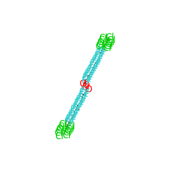 O=C(OOC(=O)C(F)(F)C(F)(F)C(F)(F)C(F)(F)C(F)(F)C(F)(F)C(F)(F)C(F)(F)C(F)(F)C(F)(F)C(F)(F)C(F)(F)C(F)(F)C(F)(F)C(F)(F)C(F)(F)C(Cl)(Cl)C(Cl)(Cl)C(Cl)(Cl)C(Cl)(Cl)C(Cl)(Cl)Cl)C(F)(F)C(F)(F)C(F)(F)C(F)(F)C(F)(F)C(F)(F)C(F)(F)C(F)(F)C(F)(F)C(F)(F)C(F)(F)C(F)(F)C(F)(F)C(F)(F)C(F)(F)C(F)(F)C(Cl)(Cl)C(Cl)(Cl)C(Cl)(Cl)C(Cl)(Cl)C(Cl)(Cl)Cl